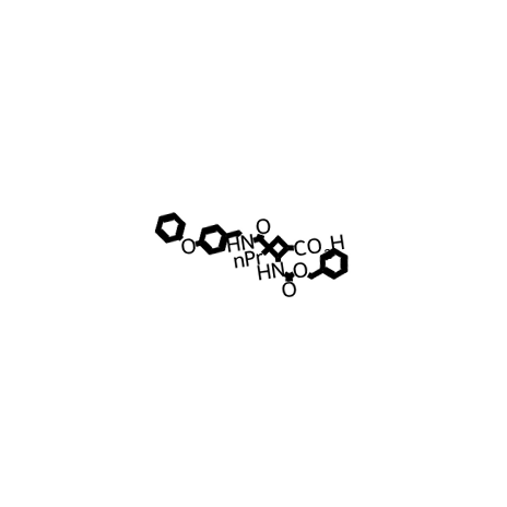 CCCC1(C(=O)NCc2ccc(Oc3ccccc3)cc2)CC(C(=O)O)C1NC(=O)OCc1ccccc1